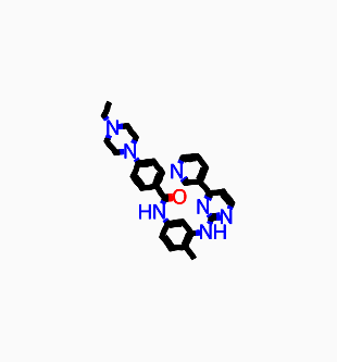 CCN1CCN(c2ccc(C(=O)Nc3ccc(C)c(Nc4nccc(-c5cccnc5)n4)c3)cc2)CC1